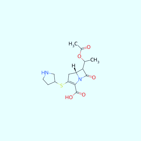 CC(=O)OC(C)C1C(=O)N2C(C(=O)O)=C(SC3CCNC3)C[C@H]12